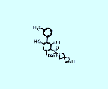 CCCCCc1cc(O)c(-c2cccc(C)c2)c(O)c1S(=O)(=O)N1CC2(CNC2)C1